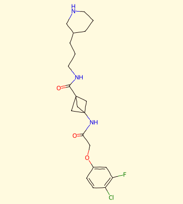 O=C(COc1ccc(Cl)c(F)c1)NC12CC(C(=O)NCCCC3CCCNC3)(C1)C2